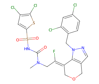 CN(CC(F)=C1COCc2cnn(Cc3ccc(Cl)cc3Cl)c21)C(=O)NS(=O)(=O)c1cc(Cl)c(Cl)s1